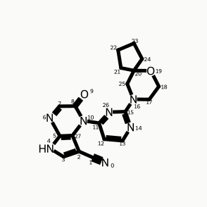 N#Cc1c[nH]c2ncc(=O)n(-c3ccnc(N4CCOC5(CCCC5)C4)n3)c12